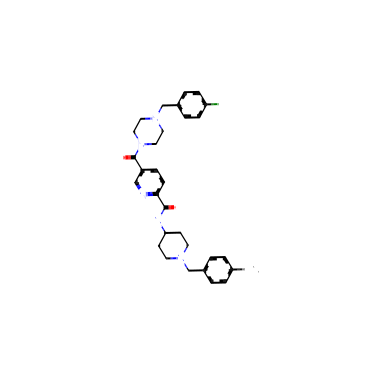 N#Cc1ccc(CN2CCC(NC(=O)c3ccc(C(=O)N4CCN(Cc5ccc(F)cc5)CC4)cn3)CC2)cc1